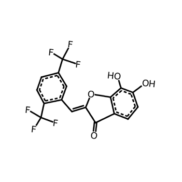 O=C1C(=Cc2cc(C(F)(F)F)ccc2C(F)(F)F)Oc2c1ccc(O)c2O